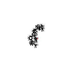 O=C(N(CC12CCC(c3noc(C4(C(F)(F)F)CC4)n3)(CC1)CC2)c1cccc(-c2nc(C3CC3)no2)c1)C12CC(F)(C1)C2